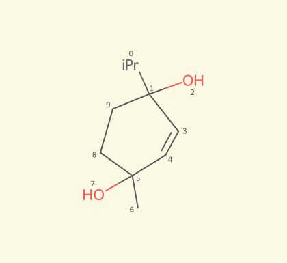 CC(C)C1(O)C=CC(C)(O)CC1